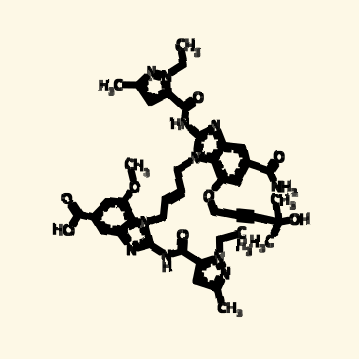 CCn1nc(C)cc1C(=O)Nc1nc2cc(C(=O)O)cc(OC)c2n1CC=CCn1c(NC(=O)c2cc(C)nn2CC)nc2cc(C(N)=O)cc(OCC#CC(C)(C)O)c21